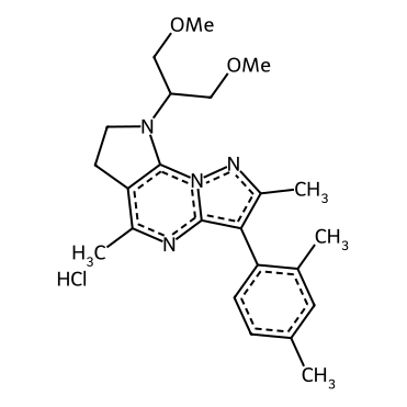 COCC(COC)N1CCc2c(C)nc3c(-c4ccc(C)cc4C)c(C)nn3c21.Cl